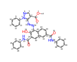 COC(=O)c1cnn(-c2ccccc2)c1/N=N/c1c(O)c(C(=O)Nc2ccccc2)cc2cc(C(=O)Nc3ccccc3)ccc12